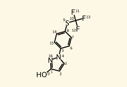 Oc1ccn(-c2ccc(SC(F)(F)F)cc2)n1